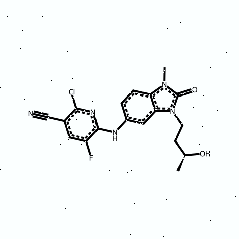 C[C@H](O)CCn1c(=O)n(C)c2ccc(Nc3nc(Cl)c(C#N)cc3F)cc21